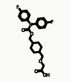 O=C(O)COCC1CCC(COC(=O)N(c2ccc(F)cc2)c2ccc(F)cc2)CC1